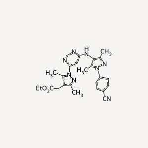 CCOC(=O)Cc1c(C)nn(-c2cc(Nc3c(C)nn(-c4ccc(C#N)cc4)c3C)ncn2)c1C